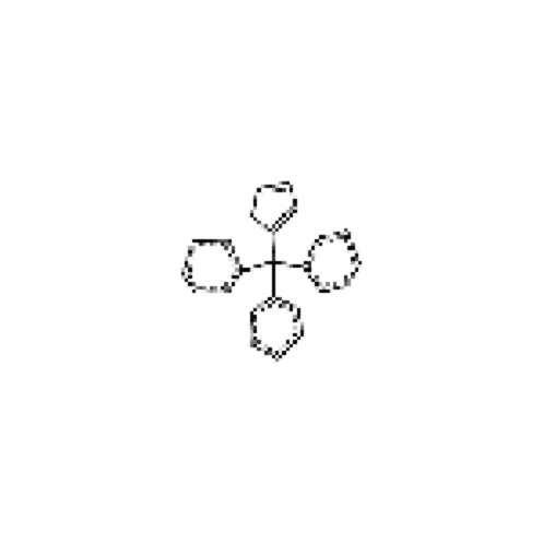 C1=CCC(C(c2ccccc2)(c2ccccc2)c2ccccc2)=C1